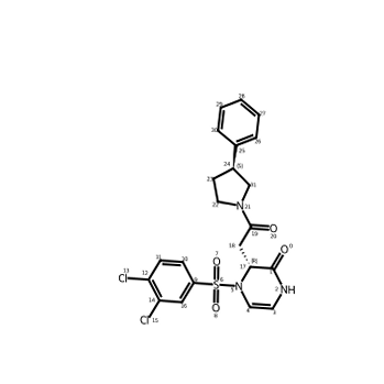 O=C1NC=CN(S(=O)(=O)c2ccc(Cl)c(Cl)c2)[C@@H]1CC(=O)N1CC[C@@H](c2ccccc2)C1